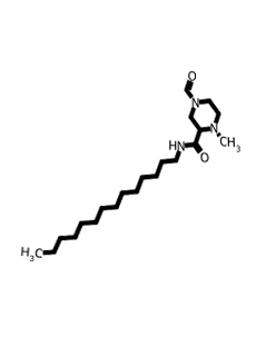 CCCCCCCCCCCCCCNC(=O)C1CN(C=O)CCN1C